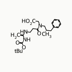 C=C(NCCC(=O)N(CC(=O)O)C[C@@H](C)Cc1ccccc1)NC(=O)OC(C)(C)C